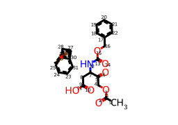 CC(=O)OCC(=O)C(CC(=O)O)NC(=O)OCc1ccccc1.c1cc2sc3cc2c3c1